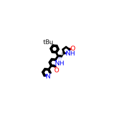 CC(C)(C)c1ccc(/C(=C\[C@H]2CCC(=O)N2)c2ccc(-c3cccnc3)c(=O)[nH]2)cc1